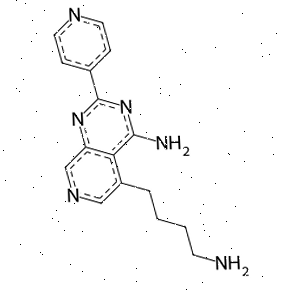 NCCCCc1cncc2nc(-c3ccncc3)nc(N)c12